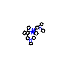 C1=Cc2c(nc(-n3c4ccccc4c4c5ccccc5c(-c5cccc(N(c6ccccc6)c6ccccc6)c5)cc43)nc2-c2ccc3c4ccccc4n(-c4ccccc4)c3c2)CC1